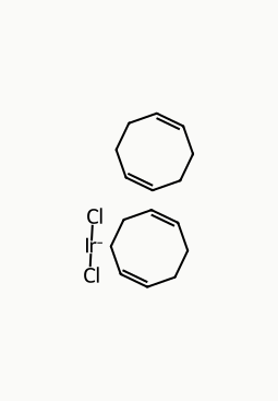 C1=CCCC=CCC1.C1=CCCC=CCC1.[Cl][Ir-][Cl]